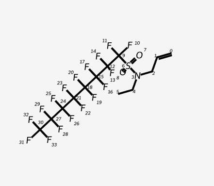 C=CCN(CC)S(=O)(=O)C(F)(F)C(F)(F)C(F)(F)C(F)(F)C(F)(F)C(F)(F)C(F)(F)C(F)(F)F